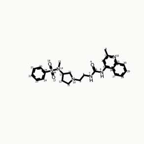 Cc1cc(NC(=O)NCCN2CCC(N(C)S(=O)(=O)c3ccccc3)C2)c2ccccc2n1